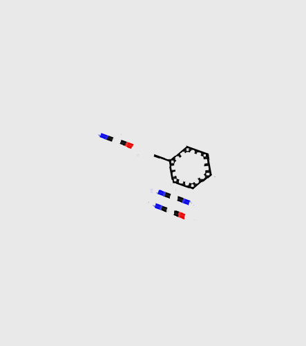 Cc1ccccc1.N=C=N.N=C=O.N=C=O